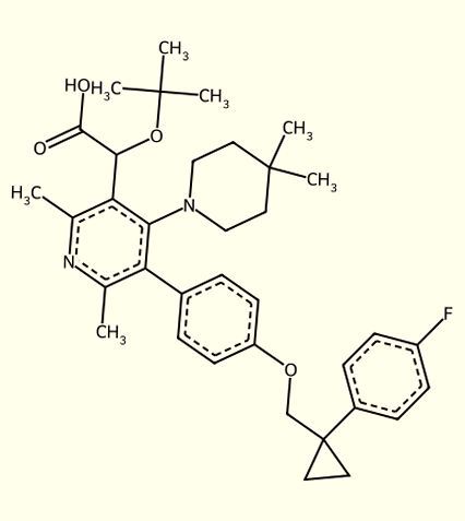 Cc1nc(C)c(C(OC(C)(C)C)C(=O)O)c(N2CCC(C)(C)CC2)c1-c1ccc(OCC2(c3ccc(F)cc3)CC2)cc1